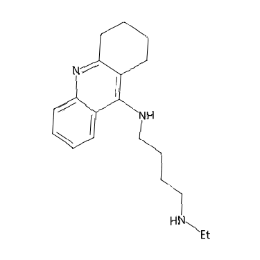 CCNCCCCNc1c2c(nc3ccccc13)CCCC2